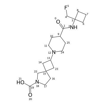 O=C(NC1(CF)CCC1)C1CCN(C2CC3(CCN(C(=O)O)C3)C2)CC1